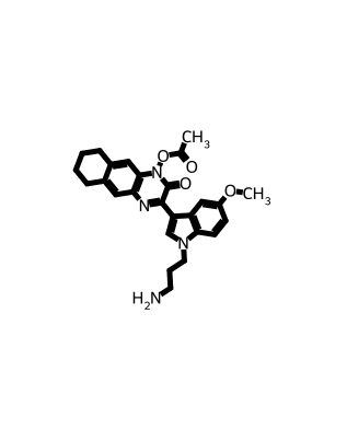 COc1ccc2c(c1)c(-c1nc3cc4c(cc3n(OC(C)=O)c1=O)CCCC4)cn2CCCN